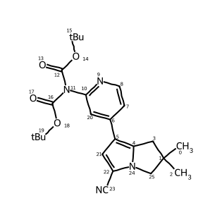 CC1(C)Cc2c(-c3ccnc(N(C(=O)OC(C)(C)C)C(=O)OC(C)(C)C)c3)cc(C#N)n2C1